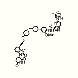 COc1cc([C@H]2CC[C@H](CN3CCC(OCC#Cc4cccc5c4n(C)c(=O)n5C4CCC(=O)NC4=O)CC3)CC2)ccc1NC(=O)c1cnn2ccc(N3C[C@H]4C[C@@H]3CO4)nc12